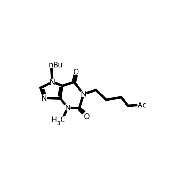 CCCCn1cnc2c1c(=O)n(CCCCC(C)=O)c(=O)n2C